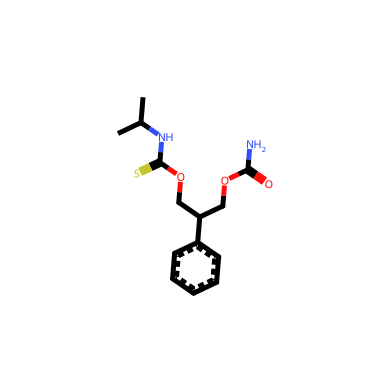 CC(C)NC(=S)OCC(COC(N)=O)c1ccccc1